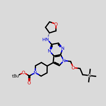 CC(C)(C)OC(=O)N1CCC(c2cn(COCC[Si](C)(C)C)c3ncc(N[C@@H]4CCOC4)nc23)CC1